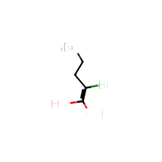 CCCCCCC(Br)=C(O)O